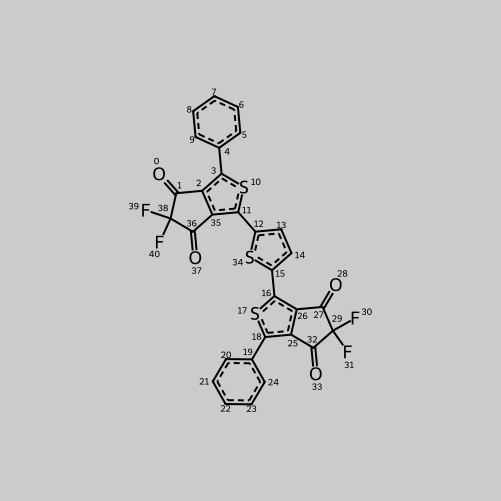 O=C1c2c(-c3ccccc3)sc(-c3ccc(-c4sc(-c5ccccc5)c5c4C(=O)C(F)(F)C5=O)s3)c2C(=O)C1(F)F